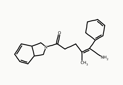 C/C(CCC(=O)N1CC2C=CC=CC2C1)=C(\N)C1=CC=CCC1